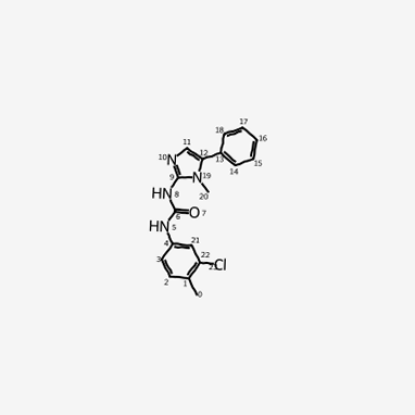 Cc1ccc(NC(=O)Nc2ncc(-c3ccccc3)n2C)cc1Cl